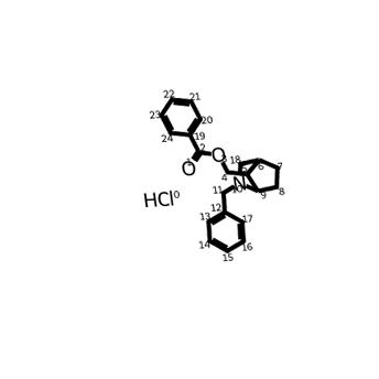 Cl.O=C(OCC1C2CCC1N(Cc1ccccc1)C2)c1ccccc1